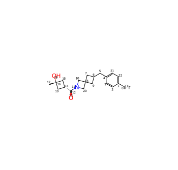 CC(C)c1ccc(CC2CC3(C2)CN(C(=O)[C@H]2C[C@@](C)(O)C2)C3)cc1